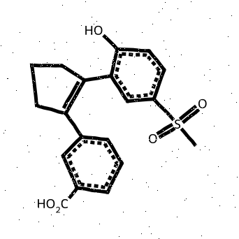 CS(=O)(=O)c1ccc(O)c(C2=C(c3cccc(C(=O)O)c3)CCC2)c1